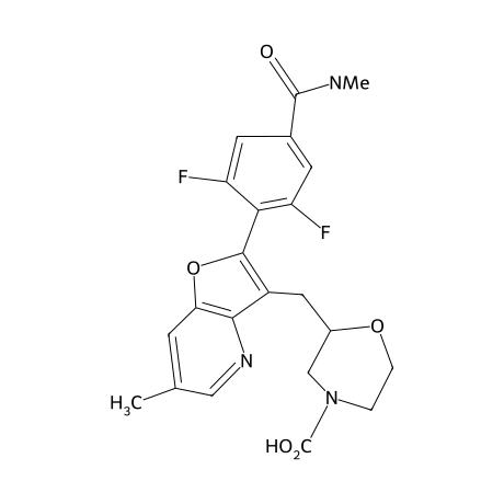 CNC(=O)c1cc(F)c(-c2oc3cc(C)cnc3c2CC2CN(C(=O)O)CCO2)c(F)c1